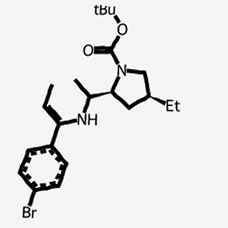 C/C=C(\NC(C)[C@@H]1C[C@H](CC)CN1C(=O)OC(C)(C)C)c1ccc(Br)cc1